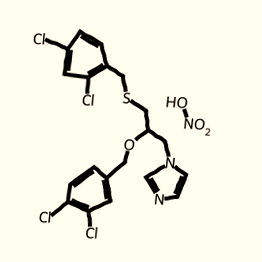 Clc1ccc(CSCC(Cn2ccnc2)OCc2ccc(Cl)c(Cl)c2)c(Cl)c1.O=[N+]([O-])O